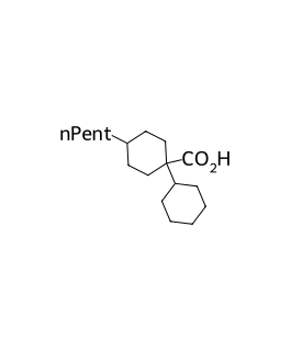 CCCCCC1CCC(C(=O)O)(C2CCCCC2)CC1